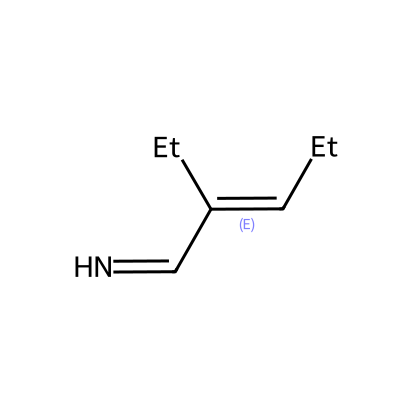 CC/C=C(/C=N)CC